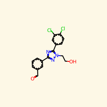 O=Cc1cccc(-c2nc(-c3ccc(Cl)c(Cl)c3)n(CCO)n2)c1